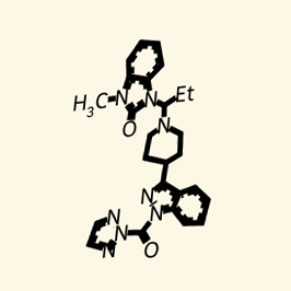 CCC(N1CCC(c2nn(C(=O)n3nccn3)c3ccccc23)CC1)n1c(=O)n(C)c2ccccc21